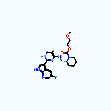 COCCOC(=O)N1CCCC[C@@H]1CNC1=C(F)CNC(c2c[nH]c3ncc(Cl)cc23)=N1